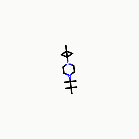 CC(C)(C)C(C)(C)N1CCN(C23CC2(C)C3)CC1